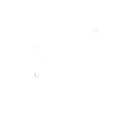 Cn1ccc2ccc(S)cc2c1=O